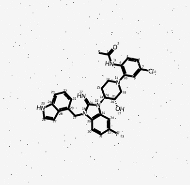 CC(=O)Nc1ccc(Cl)cc1N1CC[C@H](n2c(=N)n(Cc3cccc4[nH]ccc34)c3ccc(F)cc32)[C@@H](O)C1